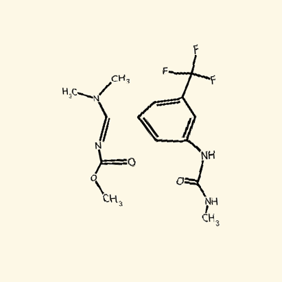 CNC(=O)Nc1cccc(C(F)(F)F)c1.COC(=O)N=CN(C)C